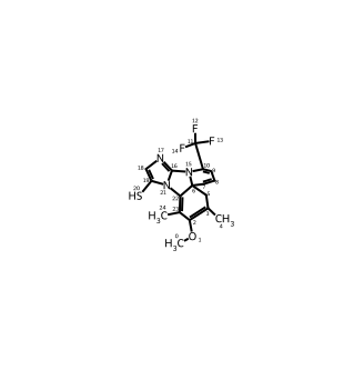 COC1=C(C)CC23C=CC=C(C(F)(F)F)N2c2ncc(S)n2C3=C1C